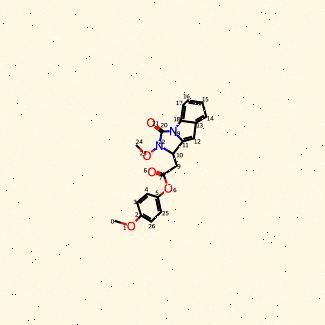 COc1ccc(OC(=O)CC2c3cc4ccccc4n3C(=O)N2OC)cc1